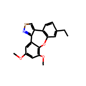 CCc1ccc2c(c1)Oc1c(OC)cc(OC)cc1-c1nscc1-2